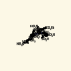 CCOC(=O)CCCCCNC(=O)C1(C(=O)NCCS(=O)(=O)O)CC(/C=C/C2=[N+](CCCS(=O)(=O)O)c3ccc(S(=O)(=O)O)cc3C2(C)C)=CC(=C/C=C2/N(CCCS(=O)(=O)O)c3ccc(S(=O)(=O)N(C)CCCC(=O)NCCS(=O)(=O)O)cc3C2(C)C)/C1